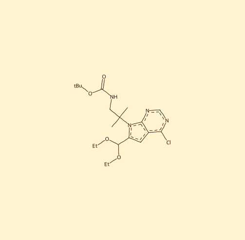 CCOC(OCC)c1cc2c(Cl)ncnc2n1C(C)(C)CNC(=O)OC(C)(C)C